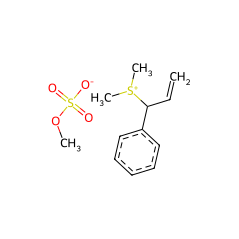 C=CC(c1ccccc1)[S+](C)C.COS(=O)(=O)[O-]